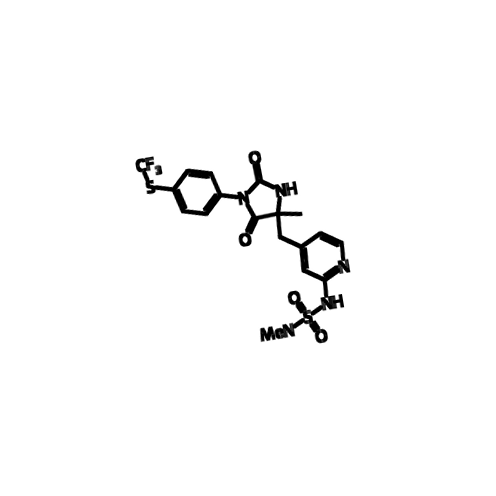 CNS(=O)(=O)Nc1cc(CC2(C)NC(=O)N(c3ccc(SC(F)(F)F)cc3)C2=O)ccn1